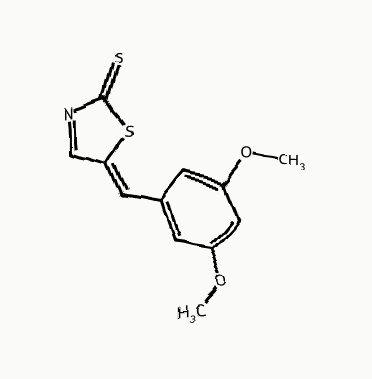 COc1cc(C=C2C=NC(=S)S2)cc(OC)c1